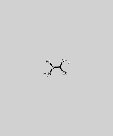 CCC(N)N(N)CC